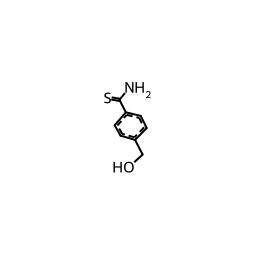 NC(=S)c1ccc(CO)cc1